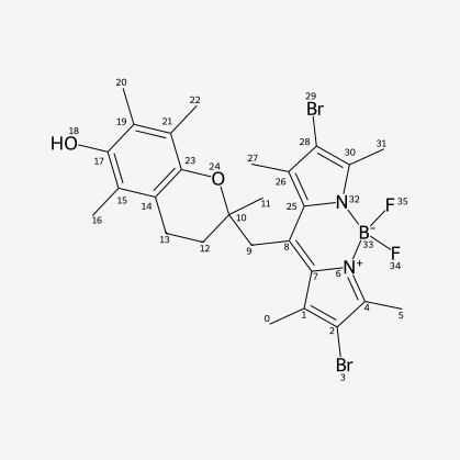 CC1=C(Br)C(C)=[N+]2C1=C(CC1(C)CCc3c(C)c(O)c(C)c(C)c3O1)c1c(C)c(Br)c(C)n1[B-]2(F)F